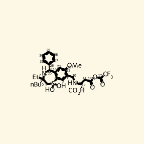 CCCC[C@@]1(CC)CS(O)(O)c2cc(CN[C@H](CC(=O)OC(=O)C(F)(F)F)C(=O)O)c(OC)cc2[C@H](c2ccccc2)N1